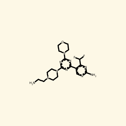 NCCN1CCN(c2nc(-c3cnc(N)nc3C(F)F)nc(N3CCOCC3)n2)CC1